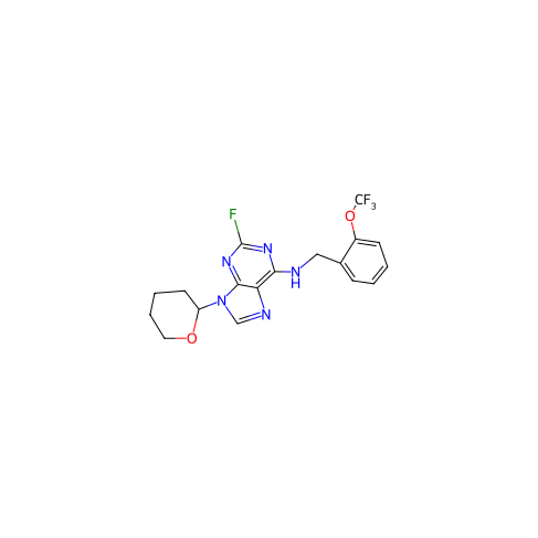 Fc1nc(NCc2ccccc2OC(F)(F)F)c2ncn(C3CCCCO3)c2n1